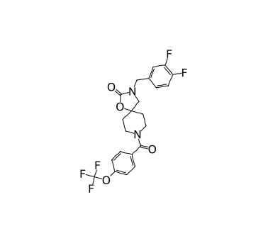 O=C1OC2(CCN(C(=O)c3ccc(OC(F)(F)F)cc3)CC2)CN1Cc1ccc(F)c(F)c1